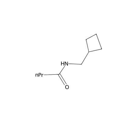 CCCC(=O)NCC1CCC1